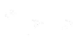 CCOCCOCCNC(=O)c1cc(C(=O)NCCOCCOCCOCCNS(=O)(=O)c2cccc(C3CC(C)Cc4c(Cl)cc(Cl)cc43)c2)cc(C(=O)NCCOCCOCCOCCNS(=O)(=O)c2cccc(C3CN(C)Cc4c(Cl)cc(Cl)cc43)c2)c1